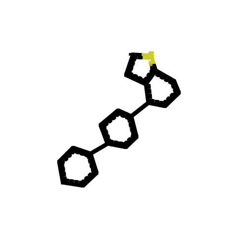 [c]1cc2c(-c3ccc(-c4ccccc4)cc3)cccc2s1